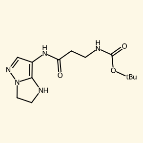 CC(C)(C)OC(=O)NCCC(=O)Nc1cnn2c1NCC2